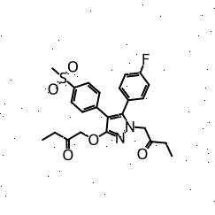 CCC(=O)COc1nn(CC(=O)CC)c(-c2ccc(F)cc2)c1-c1ccc(S(C)(=O)=O)cc1